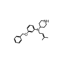 CC(C)=CCN(c1cccc(OCc2ccccc2)c1)C1CCNCC1